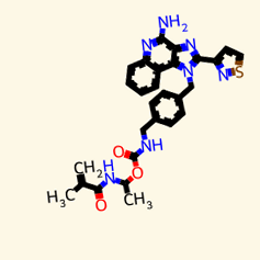 C=C(C)C(=O)NC(C)OC(=O)NCc1ccc(Cn2c(-c3ccsn3)nc3c(N)nc4ccccc4c32)cc1